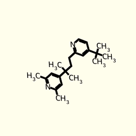 Cc1cc(C(C)(C)CCc2cc(C(C)(C)C)ccn2)cc(C)n1